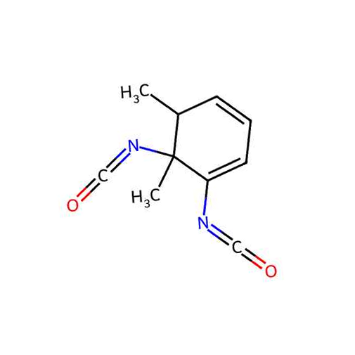 CC1C=CC=C(N=C=O)C1(C)N=C=O